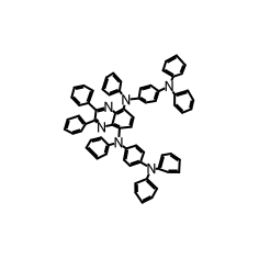 c1ccc(-c2nc3c(N(c4ccccc4)c4ccc(N(c5ccccc5)c5ccccc5)cc4)ccc(N(c4ccccc4)c4ccc(N(c5ccccc5)c5ccccc5)cc4)c3nc2-c2ccccc2)cc1